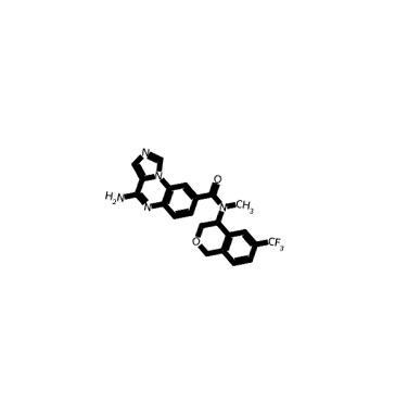 CN(C(=O)c1ccc2nc(N)c3cncn3c2c1)C1COCc2ccc(C(F)(F)F)cc21